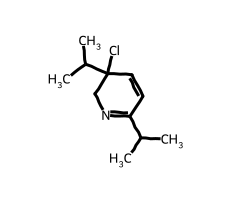 CC(C)C1=NCC(Cl)(C(C)C)C=C1